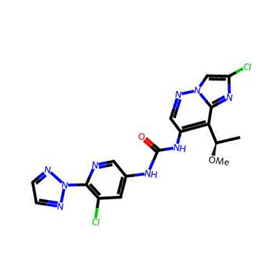 CO[C@H](C)c1c(NC(=O)Nc2cnc(-n3nccn3)c(Cl)c2)cnn2cc(Cl)nc12